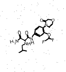 CC(C)CN[C@H](C(N)=O)C(=O)Nc1ccc(N2CCOCC2=O)c(OC(F)F)c1